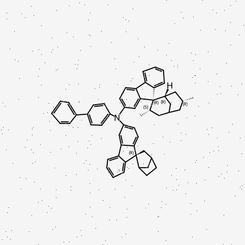 C[C@@H]1CC2C[C@@H](C1)[C@@]1(c3ccccc3-c3ccc(N(c4ccc(-c5ccccc5)cc4)c4ccc5c(c4)-c4ccccc4[C@]54CC5CCC4C5)cc31)[C@@H](C)C2